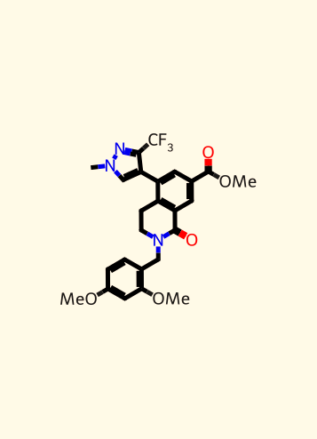 COC(=O)c1cc2c(c(-c3cn(C)nc3C(F)(F)F)c1)CCN(Cc1ccc(OC)cc1OC)C2=O